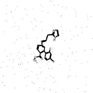 COC(=O)c1ccc(C=CCc2ncc[nH]2)cc1-c1ccc(F)cc1F